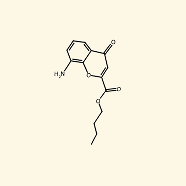 CCCCOC(=O)c1cc(=O)c2cccc(N)c2o1